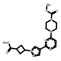 COC(=O)C1CC(n2cc(-c3nccc(N4CCN(C(=O)OC(C)(C)C)CC4)n3)cn2)C1